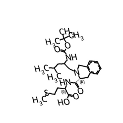 CSCC[C@@H](NC(=O)[C@H]1Cc2ccccc2CN1CC(CC(C)C)NC(=O)OC(C)(C)C)C(=O)O